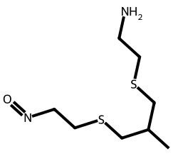 CC(CSCCN)CSCCN=O